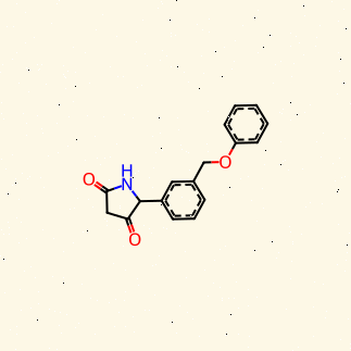 O=C1CC(=O)C(c2cccc(COc3ccccc3)c2)N1